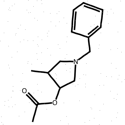 CC(=O)OC1CN(Cc2ccccc2)CC1C